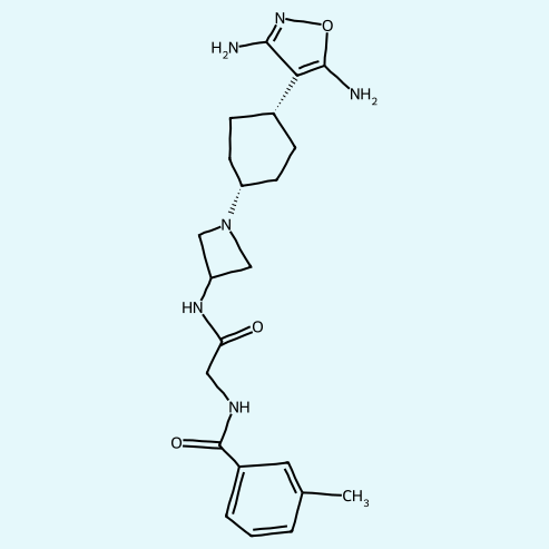 Cc1cccc(C(=O)NCC(=O)NC2CN([C@H]3CC[C@@H](c4c(N)noc4N)CC3)C2)c1